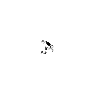 [Au].[InH3].[O]=[Sn]